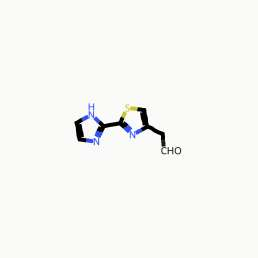 O=CCc1csc(-c2ncc[nH]2)n1